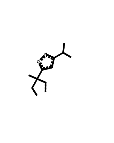 CCC(C)(CC)c1cc(C(C)C)no1